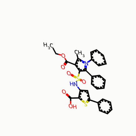 CCOC(=O)c1c(S(=O)(=O)Nc2cc(-c3ccccc3)sc2C(=O)O)c(-c2ccccc2)n(-c2ccccc2)c1C